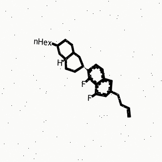 C=CCCc1cc(F)c2c(F)c([C@@H]3CC[C@@H]4CC(CCCCCC)CCC4C3)ccc2c1